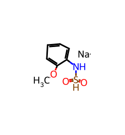 COc1ccccc1N[SH](=O)=O.[Na]